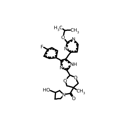 CC(C)Oc1nccc(-c2[nH]c(C3OCC(C)(C(=O)N4CCC(O)C4)CO3)nc2-c2ccc(F)cc2)n1